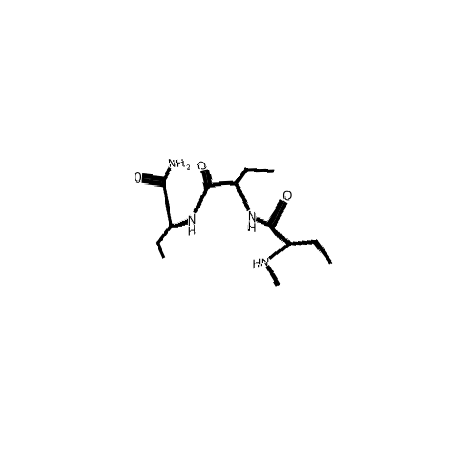 CCC(NC(=O)C(CC)NC(=O)C(CC)NC)C(N)=O